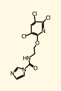 O=C(NCCOc1nc(Cl)c(Cl)cc1Cl)n1ccnc1